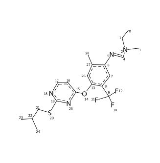 CCN(C)C=Nc1cc(C(F)(F)F)c(Oc2ccnc(SCC(C)C)n2)cc1C